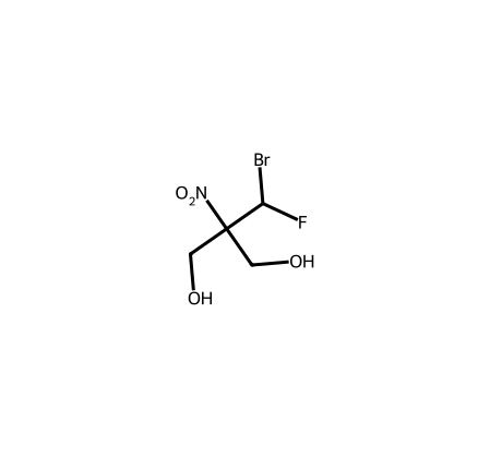 O=[N+]([O-])C(CO)(CO)C(F)Br